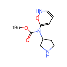 CC(C)(C)OC(=O)N(C1=CC=CNO1)C1CCNC1